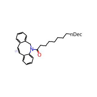 CCCCCCCCCCCCCCCCCC(=O)N1Cc2ccccc2/C=C\c2ccccc21